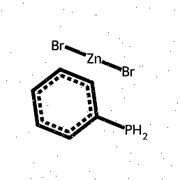 Pc1ccccc1.[Br][Zn][Br]